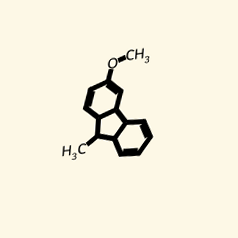 COC1=CC2C(C=C1)C(C)C1C=CC=CC12